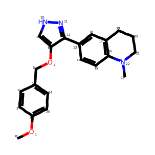 COc1ccc(COc2c[nH]nc2-c2ccc3c(c2)CCCN3C)cc1